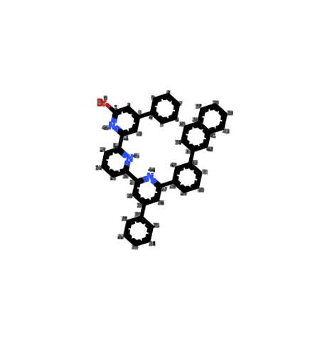 Brc1cc(-c2ccccc2)cc(-c2cccc(-c3cc(-c4ccccc4)cc(-c4cccc(-c5ccc6ccccc6c5)c4)n3)n2)n1